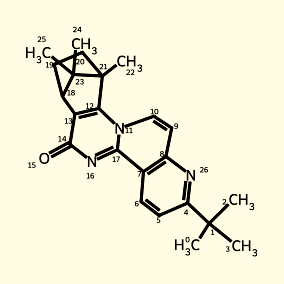 CC(C)(C)c1ccc2c(ccn3c4c(c(=O)nc23)C2CCC4(C)C2(C)C)n1